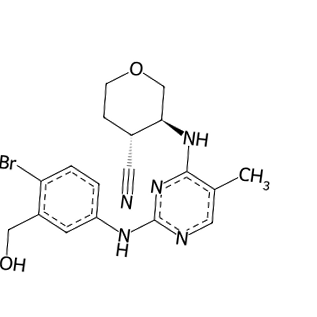 Cc1cnc(Nc2ccc(Br)c(CO)c2)nc1N[C@@H]1COCC[C@H]1C#N